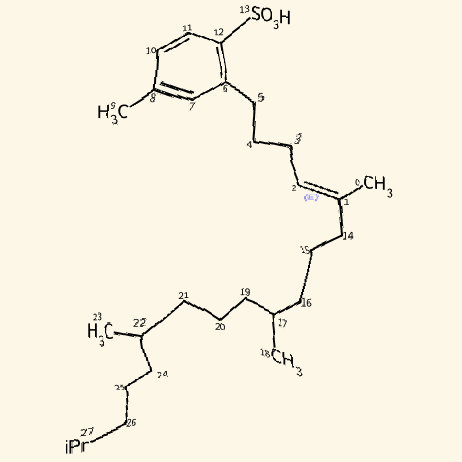 C/C(=C\CCCc1cc(C)ccc1S(=O)(=O)O)CCCC(C)CCCC(C)CCCC(C)C